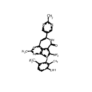 Cc1ncc(C2=Cc3nc(C)nc4c3c(c(N)n4-c3c(C)ccc(O)c3C)C(=O)N2)cn1